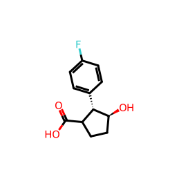 O=C(O)C1CC[C@H](O)[C@H]1c1ccc(F)cc1